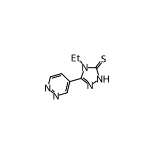 CCn1c(-c2ccnnc2)n[nH]c1=S